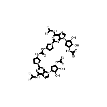 CCC(=O)N[C@H]1C[C@@H](n2cnc3c(NC(CC)CC)nc(N4CC[C@@H](NC(=O)N[C@H]5CCN(c6nc(NC(CC)CC)c7ncn([C@@H]8C[C@H](NC(=O)CC)[C@@H](O)[C@H]8O)c7n6)C5)C4)nc32)[C@H](O)[C@@H]1O